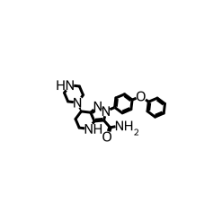 NC(=O)c1c2c(nn1-c1ccc(Oc3ccccc3)cc1)[C@H](N1CCNCC1)CCN2